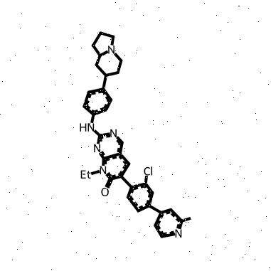 CCn1c(=O)c(-c2ccc(-c3ccnc(C)c3)cc2Cl)cc2cnc(Nc3ccc(C4CCN5CCCC5C4)cc3)nc21